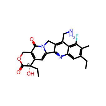 CCc1cc2nc3c(c(CN)c2c(F)c1C)Cn1c-3cc2c(c1=O)COC(=O)[C@]2(O)CC